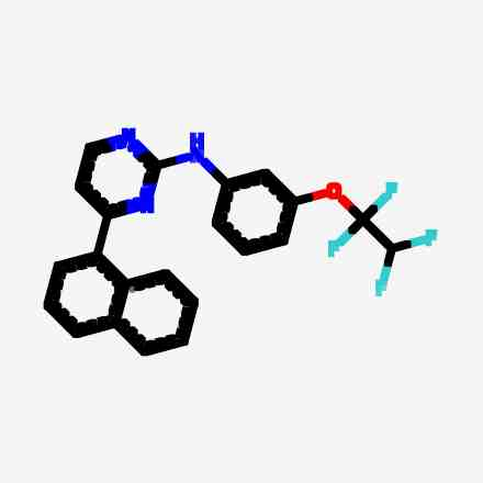 FC(F)C(F)(F)Oc1cccc(Nc2nccc(-c3cccc4ccccc34)n2)c1